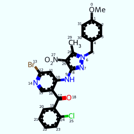 COc1ccc(Cn2nc(Nc3cc(Br)ncc3C(=O)c3ccccc3Cl)c([N+](=O)[O-])c2C)cc1